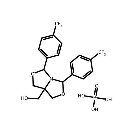 O=P(O)(O)O.OCC12COC(c3ccc(C(F)(F)F)cc3)N1C(c1ccc(C(F)(F)F)cc1)OC2